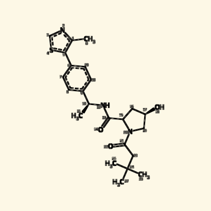 Cc1ncsc1-c1ccc([C@H](C)NC(=O)C2C[C@@H](O)CN2C(=O)CC(C)(C)C)cc1